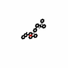 CC1C=c2ccccc2=CC1c1ccc(N(c2ccc(-c3cccc4c3sc3c5ccccc5n(-c5ccccc5)c43)cc2)c2ccccc2-c2ccccc2)cc1